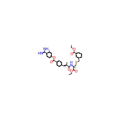 CCOC(=O)c1cccc(CSC[C@H](NC(=O)/C(C)=C/c2ccc(C(=O)Oc3ccc(C(=N)N)cc3)cc2)C(=O)OCC)c1